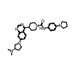 CN(C)[C@@H]1CCN(c2ccc3c(C4CCN(C(=O)Nc5ccc(N6CCCC6)cc5)CC4)ncnc3c2)C1